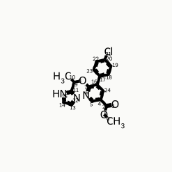 COC(=O)c1cnc(OC(C)c2ncc[nH]2)c(-c2ccc(Cl)cc2)c1